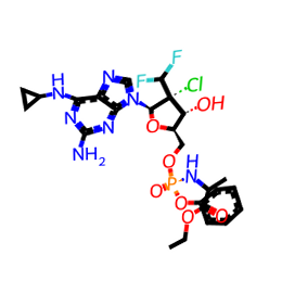 CCOC(=O)C(C)N[P@](=O)(OC[C@H]1O[C@@H](n2cnc3c(NC4CC4)nc(N)nc32)[C@@](Cl)(C(F)F)[C@@H]1O)Oc1ccccc1